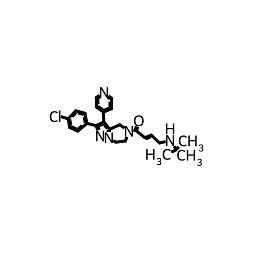 CC(C)(C)NCC=CC(=O)N1CCn2nc(-c3ccc(Cl)cc3)c(-c3ccncc3)c2C1